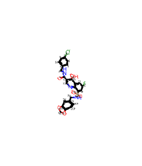 O=C(NCc1ccc(Cl)cc1)c1cnc2c(S(=O)(=O)NCc3ccc4c(c3)OCO4)cc(F)cc2c1O